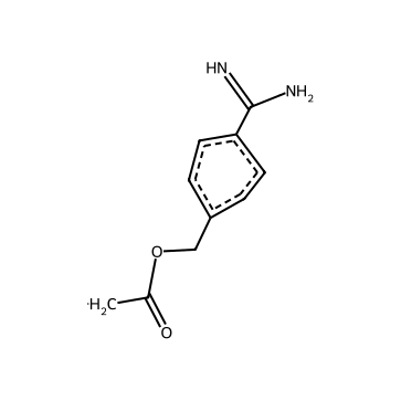 [CH2]C(=O)OCc1ccc(C(=N)N)cc1